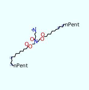 CCCCC/C=C\C/C=C\CCCCCCCC(=O)OCCN(CCOC(=O)CCCCCC/C=C/C=C/CCCCC)C(=O)CCCN(C)C